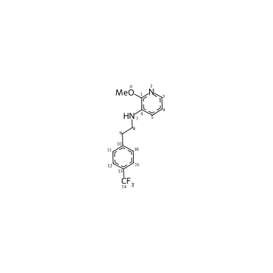 COc1ncccc1NCCc1ccc(C(F)(F)F)cc1